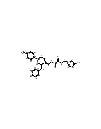 Cc1cn(CCC(=O)NCCN2CCN(c3ccc(Cl)cc3)CC2Cc2ccccc2)cn1